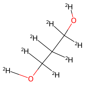 [2H]OC([2H])([2H])C([2H])([2H])C([2H])([2H])O[2H]